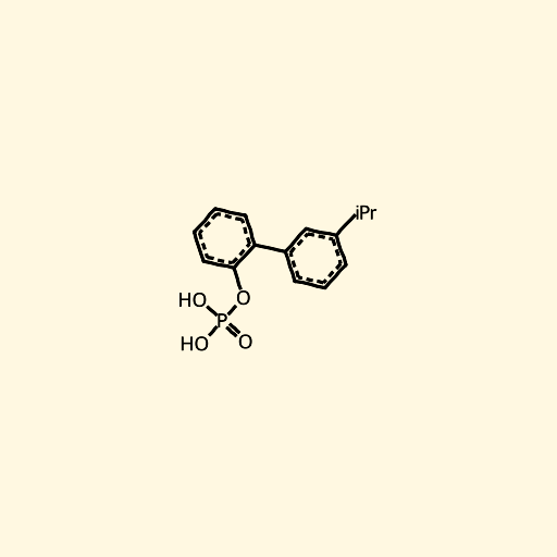 CC(C)c1cccc(-c2ccccc2OP(=O)(O)O)c1